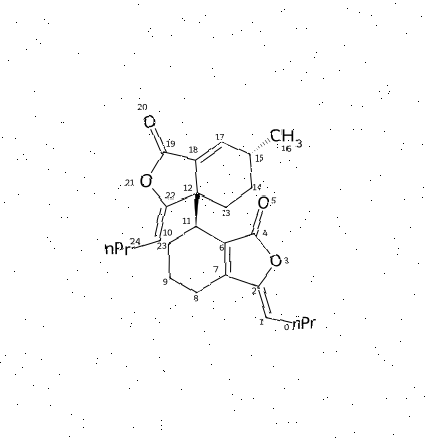 CCC/C=C1\OC(=O)C2=C1CCC[C@H]2C12CC[C@@H](C)C=C1C(=O)O/C2=C\CCC